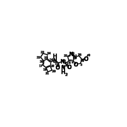 CO[C@H]1COc2c(S(N)(=O)=NC(=O)Nc3c4c(cc5c3CC5)CCC4)cnn2C1